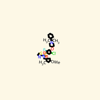 COc1ccc(CN(c2nccs2)S(=O)(=O)c2cc(Cl)c(OC3CCN(C(C)(C)c4ccccc4)CC3)cc2F)c(C)c1